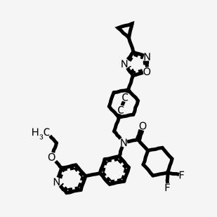 CCOc1cc(-c2cccc(N(CC34CCC(c5nc(C6CC6)no5)(CC3)CC4)C(=O)C3CCC(F)(F)CC3)c2)ccn1